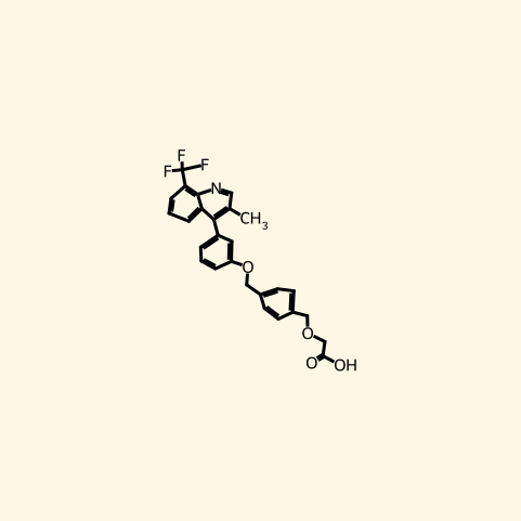 Cc1cnc2c(C(F)(F)F)cccc2c1-c1cccc(OCc2ccc(COCC(=O)O)cc2)c1